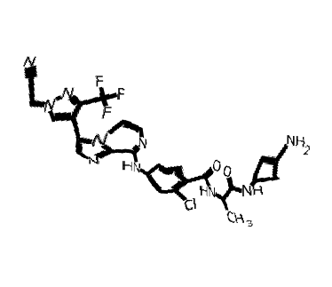 CC(NC(=O)c1ccc(Nc2nccn3c(-c4cn(CC#N)nc4C(F)(F)F)cnc23)cc1Cl)C(=O)NC1CC(N)C1